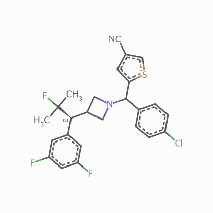 CC(C)(F)[C@H](c1cc(F)cc(F)c1)C1CN(C(c2ccc(Cl)cc2)c2cc(C#N)cs2)C1